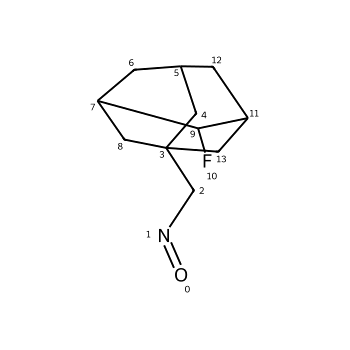 O=NCC12CC3CC(C1)C(F)C(C3)C2